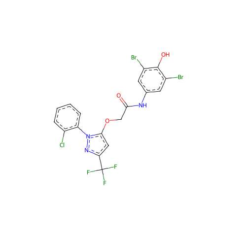 O=C(COc1cc(C(F)(F)F)nn1-c1ccccc1Cl)Nc1cc(Br)c(O)c(Br)c1